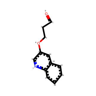 O=CCCOc1cnc2ccccc2c1